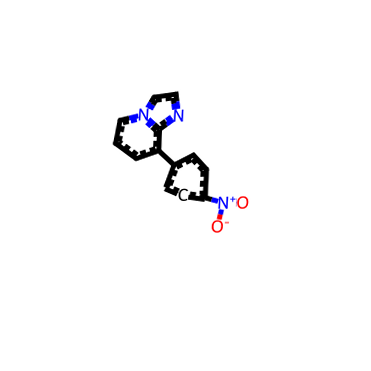 O=[N+]([O-])c1ccc(-c2cccn3ccnc23)cc1